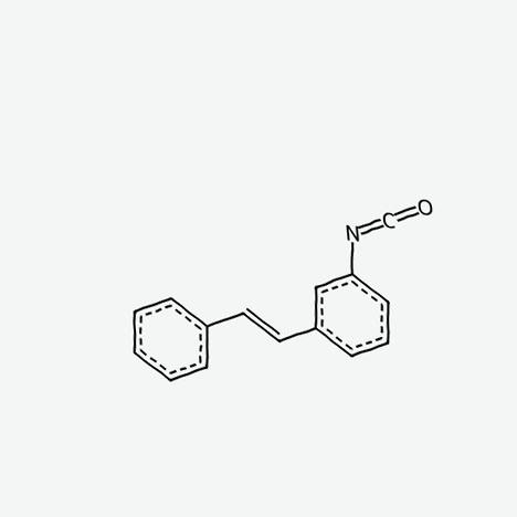 O=C=Nc1cccc(C=Cc2ccccc2)c1